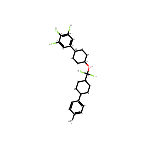 CCCc1ccc(C2CCC(C(F)(F)OC3CCC(c4cc(F)c(F)c(F)c4)CC3)CC2)cc1